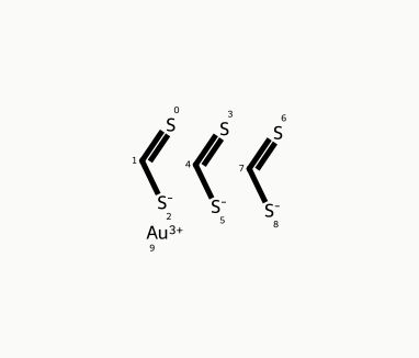 S=C[S-].S=C[S-].S=C[S-].[Au+3]